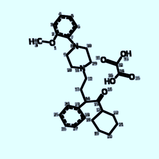 COc1ccccc1N1CCN(CCC(C(=O)C2CCCCC2)c2ccccc2)CC1.O=C(O)C(=O)O